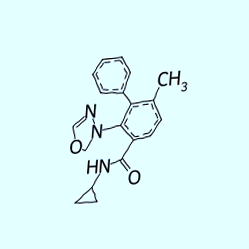 Cc1ccc(C(=O)NC2CC2)c(N2COC=N2)c1-c1ccccc1